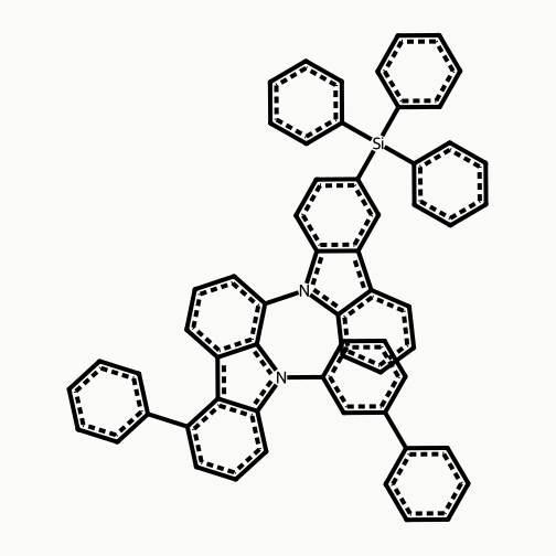 c1ccc(-c2cccc(-n3c4cccc(-c5ccccc5)c4c4cccc(-n5c6ccccc6c6cc([Si](c7ccccc7)(c7ccccc7)c7ccccc7)ccc65)c43)c2)cc1